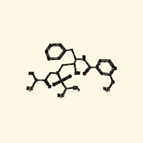 COc1cc(C(=O)NC(Cc2ccccc2)C(O)CN(CC(=O)N(C)O)S(=O)(=O)C(C)C)ccn1